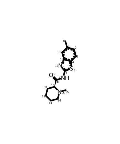 Cc1ccc2sc(NC(=O)[C@@H]3CCCCN3C)nc2c1